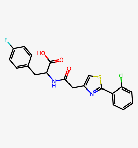 O=C(Cc1csc(-c2ccccc2Cl)n1)NC(Cc1ccc(F)cc1)C(=O)O